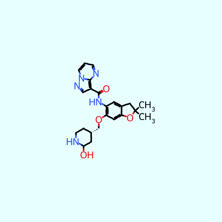 CC1(C)Cc2cc(NC(=O)c3cnn4cccnc34)c(OC[C@H]3CCNC(O)C3)cc2O1